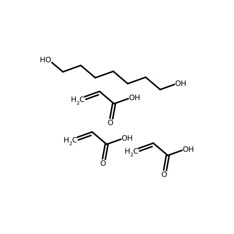 C=CC(=O)O.C=CC(=O)O.C=CC(=O)O.OCCCCCCCO